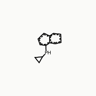 c1ccc2c(PC3CC3)cccc2c1